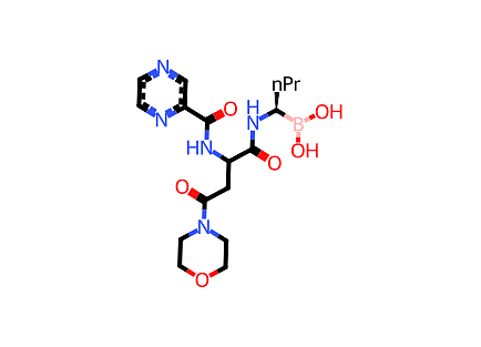 CCC[C@H](NC(=O)C(CC(=O)N1CCOCC1)NC(=O)c1cnccn1)B(O)O